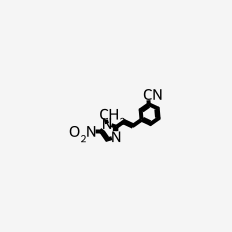 Cn1c([N+](=O)[O-])cnc1C=Cc1cccc(C#N)c1